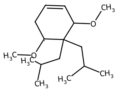 CO[C]1CC=CC(OC)C1(CC(C)C)CC(C)C